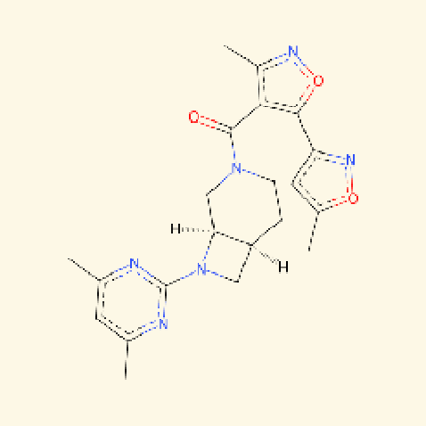 Cc1cc(C)nc(N2C[C@@H]3CCN(C(=O)c4c(C)noc4-c4cc(C)on4)C[C@@H]32)n1